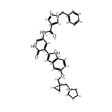 O=C(Nc1c[nH]c(=O)c(-c2cc3cc(OCC4(CN5CCCC5)CC4)ccc3[nH]2)c1)c1cnn(Cc2ccccc2)c1